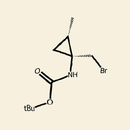 C[C@H]1C[C@]1(CBr)NC(=O)OC(C)(C)C